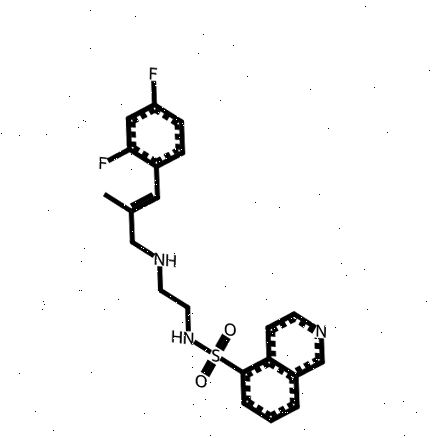 CC(=Cc1ccc(F)cc1F)CNCCNS(=O)(=O)c1cccc2cnccc12